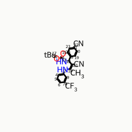 C/C(Nc1cccc(C(F)(F)F)c1)=C(\C#N)[C@H](NC(=O)OC(C)(C)C)c1ccc(C#N)cc1